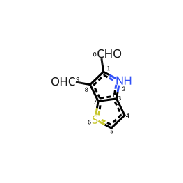 O=Cc1[nH]c2ccsc2c1C=O